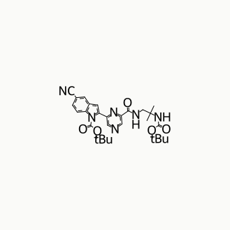 CC(C)(CNC(=O)c1cncc(-c2cc3cc(C#N)ccc3n2C(=O)OC(C)(C)C)n1)NC(=O)OC(C)(C)C